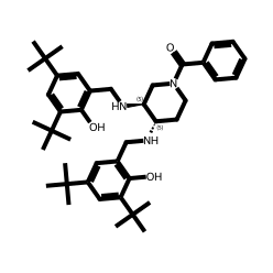 CC(C)(C)c1cc(CN[C@H]2CCN(C(=O)c3ccccc3)C[C@@H]2NCc2cc(C(C)(C)C)cc(C(C)(C)C)c2O)c(O)c(C(C)(C)C)c1